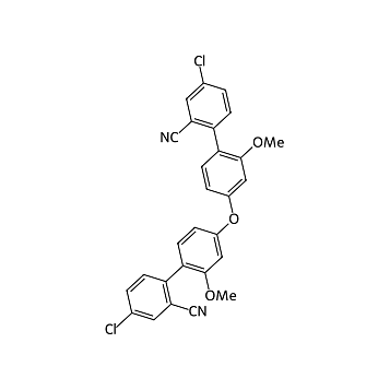 COc1cc(Oc2ccc(-c3ccc(Cl)cc3C#N)c(OC)c2)ccc1-c1ccc(Cl)cc1C#N